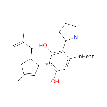 C=C(C)C[C@@H]1CC(C)=C[C@H]1c1c(O)cc(CCCCCCC)c(C2CCC=N2)c1O